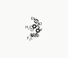 CCN1CCN(C(=O)N(Cc2ccc(C(=O)NNC(=O)C(F)(F)F)cc2F)c2ccc(C)c(Cl)c2)CC1